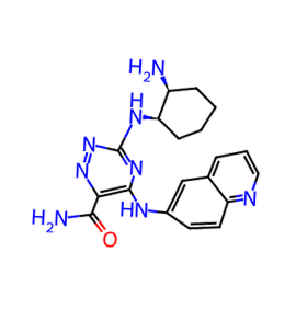 NC(=O)c1nnc(N[C@@H]2CCCC[C@@H]2N)nc1Nc1ccc2ncccc2c1